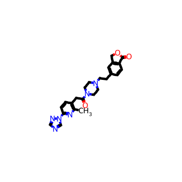 Cc1nc(-n2cncn2)ccc1CC(=O)N1CCN(CCc2ccc3c(c2)COC3=O)CC1